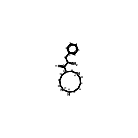 NC(Cc1ccccc1)C(=O)N1CCCNNCCCCNC1